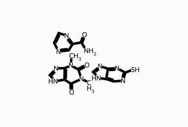 Cn1c(=O)c2[nH]cnc2n(C)c1=O.NC(=O)c1cnccn1.Sc1ncc2[nH]cnc2n1